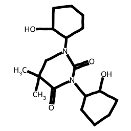 CC1(C)CN(C2CCCCC2O)C(=O)N(C2CCCCC2O)C1=O